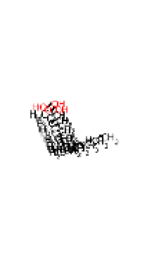 C=C.C=C.C=C.C=C.C=C.C=C.C=CC.C=CC.C=CC.C=CC.C=CC.C=CC.C=CC.C=CC.COCCO.OCCO